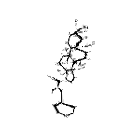 CN(CC1CCOCC1)C(=O)[C@H]1CC[C@H]2[C@@H]3CC[C@@H]4C[C@](C)(O)CC[C@@H]4[C@H]3CC[C@]12C